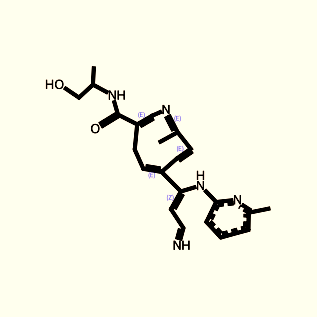 CC1=N\C=C(\C(=O)NC(C)CO)C/C=C(/C(=C/C=N)Nc2cccc(C)n2)\C=C\1